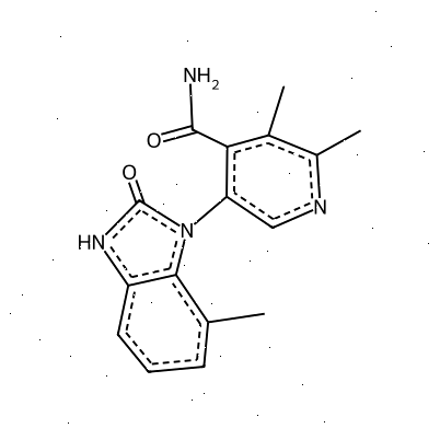 Cc1ncc(-n2c(=O)[nH]c3cccc(C)c32)c(C(N)=O)c1C